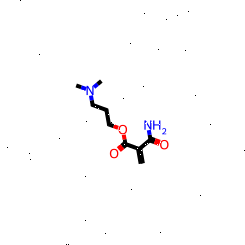 C=C(C(N)=O)C(=O)OCCCN(C)C